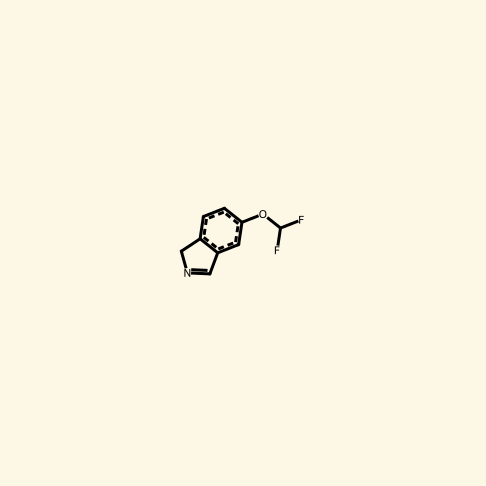 FC(F)Oc1ccc2c(c1)C=NC2